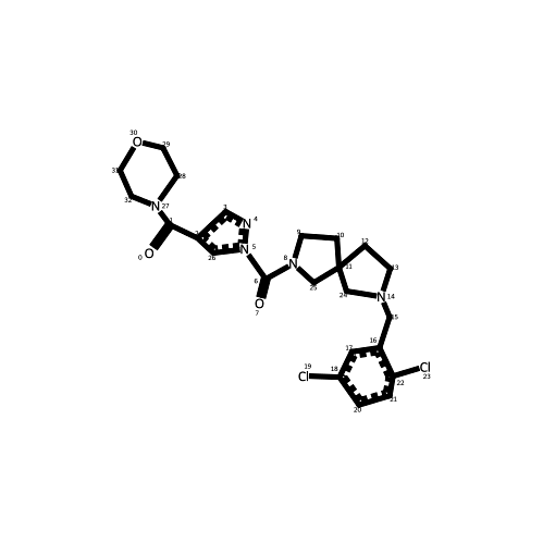 O=C(c1cnn(C(=O)N2CCC3(CCN(Cc4cc(Cl)ccc4Cl)C3)C2)c1)N1CCOCC1